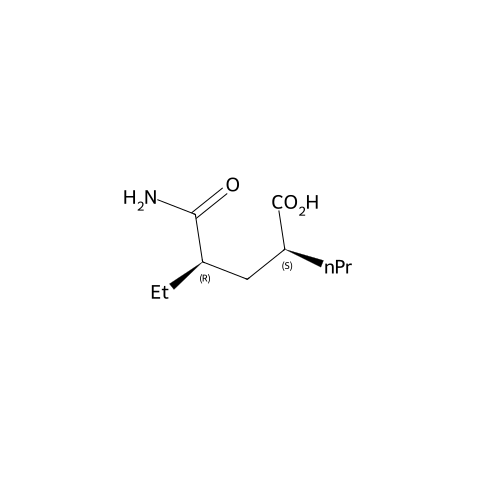 CCC[C@@H](C[C@@H](CC)C(N)=O)C(=O)O